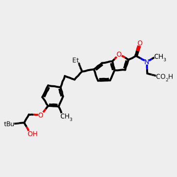 CCC(CCc1ccc(OCC(O)C(C)(C)C)c(C)c1)c1ccc2cc(C(=O)N(C)CC(=O)O)oc2c1